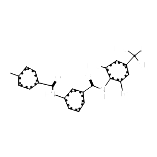 O=C(Nc1cccc(C(=O)Nc2c(Br)cc(C(F)(C(F)(F)F)C(F)(F)F)cc2C(F)(F)F)c1)c1ccc(F)cc1